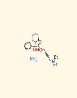 CCN(CC)CC#CCOC(=O)C(O)(c1ccccc1)C1CCCCC1.N